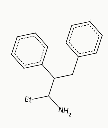 CCC(N)C(Cc1cc[c]cc1)c1ccccc1